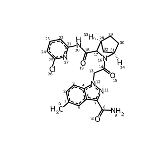 Cc1ccc2c(c1)c(C(N)=O)nn2CC(=O)N1C(C(=O)Nc2cccc(Cl)n2)[C@H]2CC[C@@H]1C2